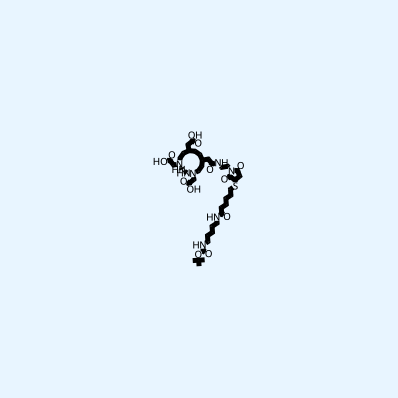 CC(C)(C)OC(=O)NCCCCCNC(=O)CCCCCSC1CC(=O)N(CCNC(=O)CC2CCC(CC(=O)O)CCN(CC(=O)O)NNN(CC(=O)O)CC2)C1=O